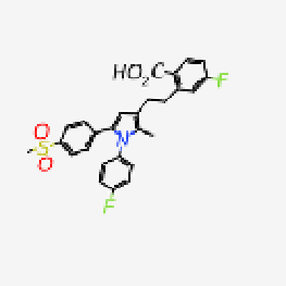 Cc1c(CCc2cc(F)ccc2C(=O)O)cc(-c2ccc(S(C)(=O)=O)cc2)n1-c1ccc(F)cc1